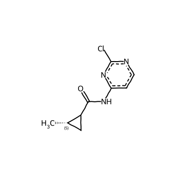 C[C@H]1CC1C(=O)Nc1ccnc(Cl)n1